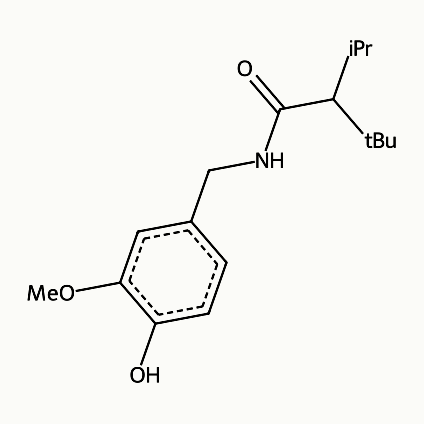 COc1cc(CNC(=O)C(C(C)C)C(C)(C)C)ccc1O